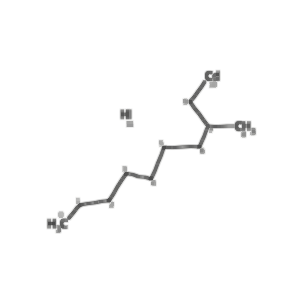 CCCCCCCC(C)[CH2][Cd].I